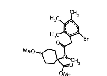 COC(=O)C1(N(C)C(=O)Cc2c(Br)cc(C)c(C)c2C)CCN(OC)CC1